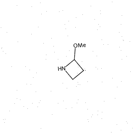 COC1[CH]CN1